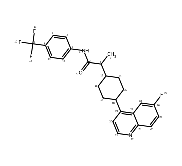 CC(C(=O)Nc1ccc(C(F)(F)F)cc1)C1CCC(c2ccnc3ccc(F)cc23)CC1